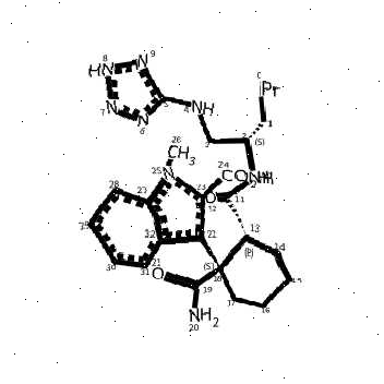 CC(C)C[C@@H](CNc1nn[nH]n1)NC(=O)[C@@H]1CCCC[C@@]1(C(N)=O)c1c(C(=O)O)n(C)c2ccccc12